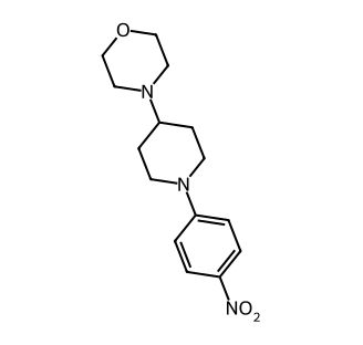 O=[N+]([O-])c1ccc(N2CCC(N3CCOCC3)CC2)cc1